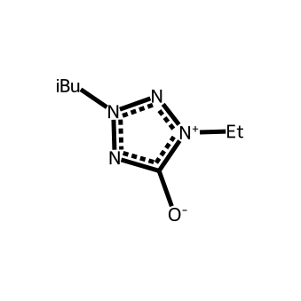 CCC(C)n1nc([O-])[n+](CC)n1